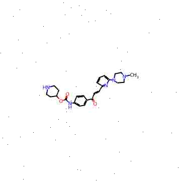 CN1CCN(c2cccc(/C=C/C(=O)c3ccc(NC(=O)OC4CCNCC4)cc3)n2)CC1